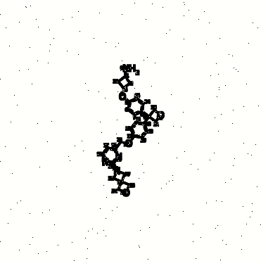 N[C@H]1C[C@H](Oc2ccc(C3(c4ccc(OCc5ccnc(N6CC7(COC7)C6)n5)cc4)COC3)cc2)C1